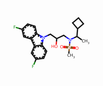 CC(C1CCC1)N(CC(O)Cn1c2ccc(F)cc2c2cc(F)ccc21)S(C)(=O)=O